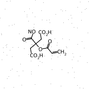 C=CC(=O)OC(CC(=O)O)(CC(=O)O)C(=O)N=O